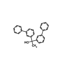 CC(O)(c1cccc(-c2ccccc2)c1)c1cccc(-c2ccccc2)c1